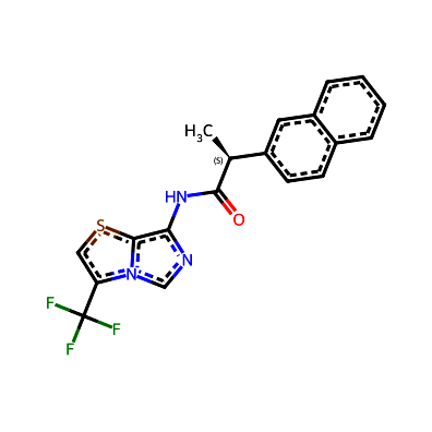 C[C@H](C(=O)Nc1ncn2c(C(F)(F)F)csc12)c1ccc2ccccc2c1